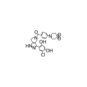 O=C(c1ccc(N2CCS(=O)(=O)CC2)cc1)N1CCc2[nH]nc(-c3cc(Cl)c(O)cc3O)c2C1